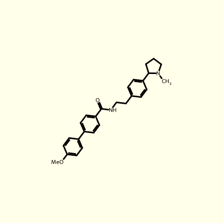 COc1ccc(-c2ccc(C(=O)NCCc3ccc(C4CCCN4C)cc3)cc2)cc1